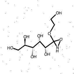 OCCOC1([C@H](O)[C@@H](O)[C@H](O)[C@H](O)CO)NO1